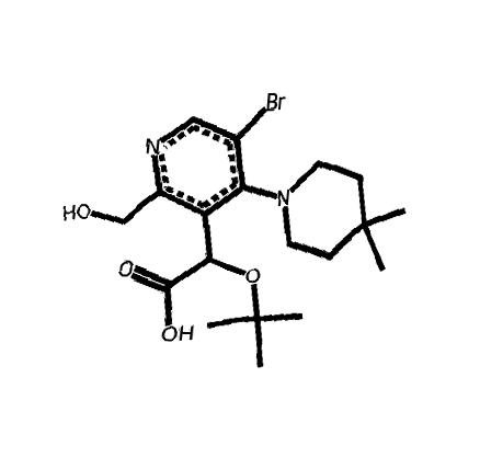 CC1(C)CCN(c2c(Br)cnc(CO)c2C(OC(C)(C)C)C(=O)O)CC1